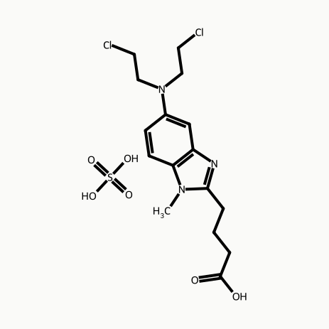 Cn1c(CCCC(=O)O)nc2cc(N(CCCl)CCCl)ccc21.O=S(=O)(O)O